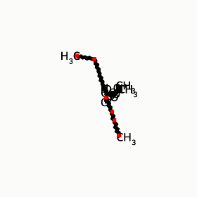 CCCCCCCC/C=C\CCCCCCCCCCCCCC(=O)O[C@H](COC(=O)CCCCCCCCCCCCCCCCC)COP(=O)([O-])OCC[N+](C)(C)C